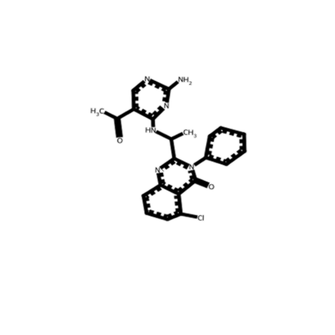 CC(=O)c1cnc(N)nc1NC(C)c1nc2cccc(Cl)c2c(=O)n1-c1ccccc1